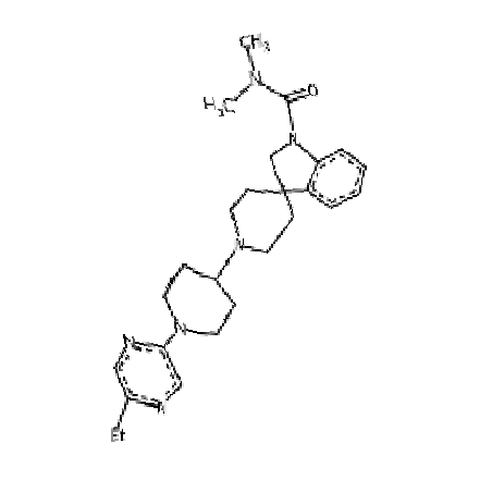 CCc1cnc(N2CCC(N3CCC4(CC3)CN(C(=O)N(C)C)c3ccccc34)CC2)cn1